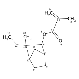 C=C(C)C(=O)OC1C2CCC(C2)C1(C)CC